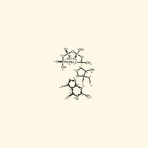 CC(C)(OP(=O)(O)OP(=O)(O)OP(=O)(O)O)[C@H]1O[C@@H](n2cc(F)c3c(=O)[nH]c(N)nc32)[C@@](F)(CF)C1O